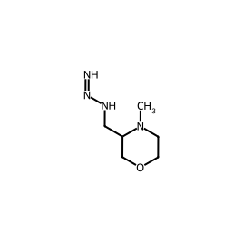 CN1CCOCC1CNN=N